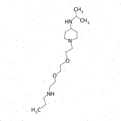 CCCNCCOCCOCCN1CCC(NC(C)C)CC1